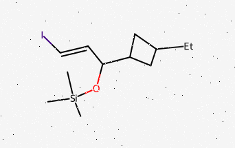 CCC1CC(C(C=CI)O[Si](C)(C)C)C1